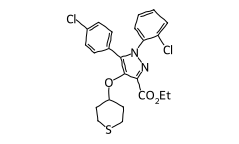 CCOC(=O)c1nn(-c2ccccc2Cl)c(-c2ccc(Cl)cc2)c1OC1CCSCC1